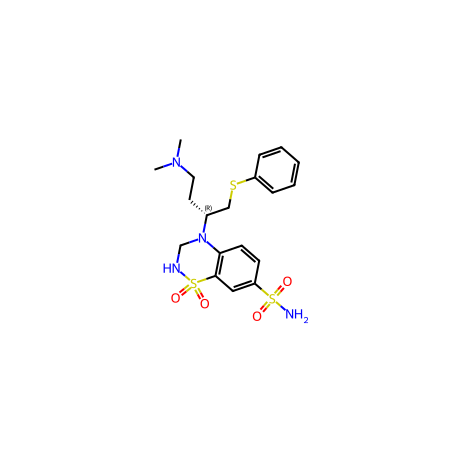 CN(C)CC[C@H](CSc1ccccc1)N1CNS(=O)(=O)c2cc(S(N)(=O)=O)ccc21